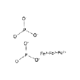 [Fe+2].[Fe+2].[Fe+2].[O-]P([O-])[O-].[O-]P([O-])[O-]